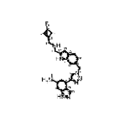 C[SiH2]c1cc(-c2cn(Cc3ccc4cc(CNCC56CC(F)(C5)C6)[nH]c4c3)nn2)c2cn[nH]c2c1